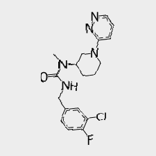 CN(C(=O)NCc1ccc(F)c(Cl)c1)[C@@H]1CCCN(c2cccnn2)C1